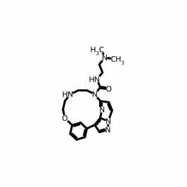 CN(C)CCNC(=O)N1CCNCCOc2cccc(c2)-c2cnn3ccc1nc23